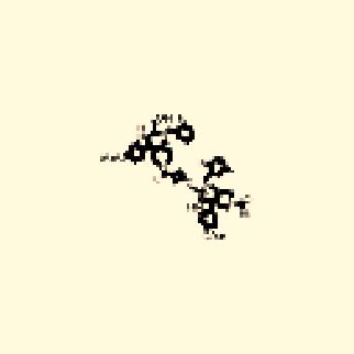 CCC(=O)N1CCC2(CC1)CN(Cc1cc(F)ccc1F)[C@H](COC1CC(C(=O)N3CCC4(CC3)CN(Cc3ccccc3F)[C@H](CO)c3[nH]c5cc(OC)ccc5c34)C1)c1[nH]c3cc(OC)ccc3c12